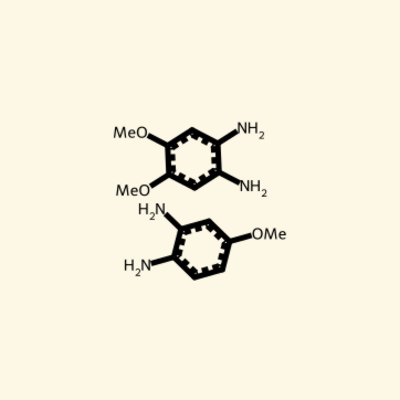 COc1cc(N)c(N)cc1OC.COc1ccc(N)c(N)c1